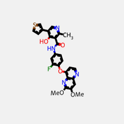 COc1cc2nccc(Oc3ccc(NC(=O)c4c(C)ncc(-c5ccsc5)c4O)cc3F)c2nc1OC